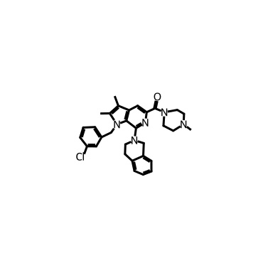 Cc1c(C)n(Cc2cccc(Cl)c2)c2c(N3CCc4ccccc4C3)nc(C(=O)N3CCN(C)CC3)cc12